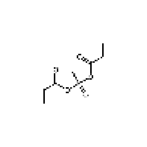 CCC(=O)OP(C)(=O)OC(=O)CC